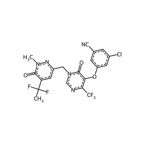 Cn1nc(Cn2cnc(C(F)(F)F)c(Oc3cc(Cl)cc(C#N)c3)c2=O)cc(C(C)(F)F)c1=O